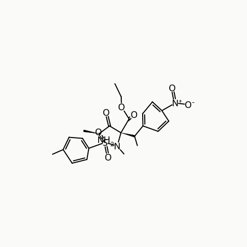 CCOC(=O)[C@](C(=O)[C@H](C)N)(C(C)c1ccc([N+](=O)[O-])cc1)N(C)S(=O)(=O)c1ccc(C)cc1